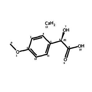 COc1ccc([C@@H](O)C(=O)O)cc1.[CaH2]